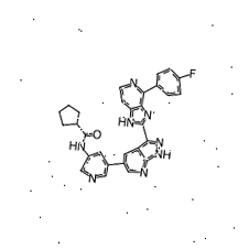 O=C(Nc1cncc(-c2cnc3[nH]nc(-c4nc5c(-c6ccc(F)cc6)nccc5[nH]4)c3c2)c1)C1CCCC1